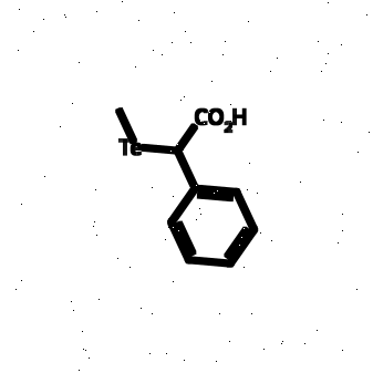 C[Te]C(C(=O)O)c1ccccc1